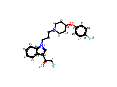 O=C(CF)c1cn(CCCN2CCC(Oc3ccc(F)cc3)CC2)c2ccccc12